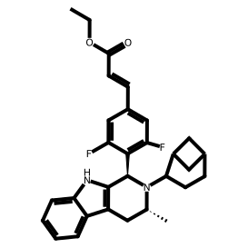 CCOC(=O)/C=C/c1cc(F)c([C@@H]2c3[nH]c4ccccc4c3C[C@@H](C)N2C2CCC3CC2C3)c(F)c1